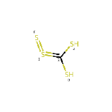 S=S=C(S)S